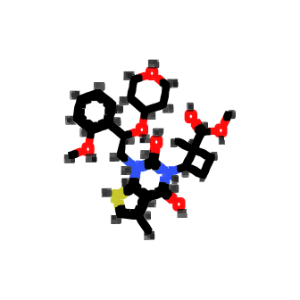 COC(=O)C1(C)CCC1n1c(=O)c2c(C)csc2n(C[C@H](OC2CCOCC2)c2ccccc2OC)c1=O